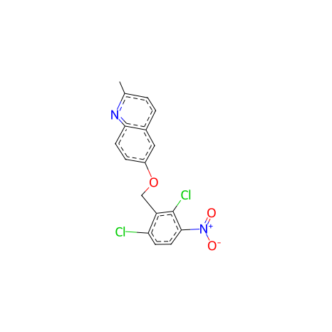 Cc1ccc2cc(OCc3c(Cl)ccc([N+](=O)[O-])c3Cl)ccc2n1